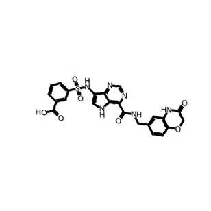 O=C1COc2ccc(CNC(=O)c3ncnc4c(NS(=O)(=O)c5cccc(C(=O)O)c5)c[nH]c34)cc2N1